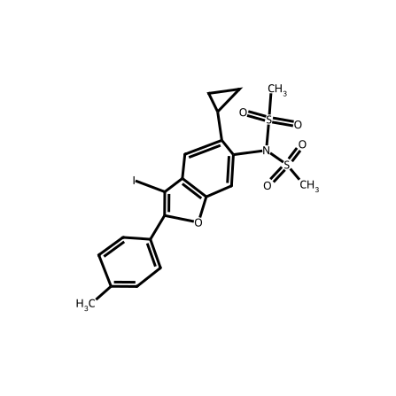 Cc1ccc(-c2oc3cc(N(S(C)(=O)=O)S(C)(=O)=O)c(C4CC4)cc3c2I)cc1